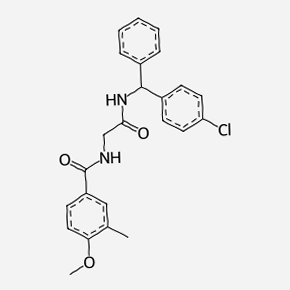 COc1ccc(C(=O)NCC(=O)NC(c2ccccc2)c2ccc(Cl)cc2)cc1C